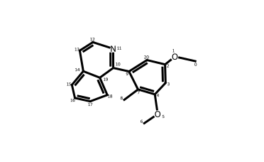 COc1cc(OC)c(C)c(-c2nccc3ccccc23)c1